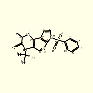 [2H]C([2H])([2H])N1C(=O)C(C)Nc2c1cnc1c2ccn1S(=O)(=O)c1ccccc1